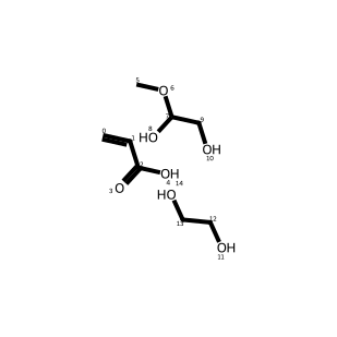 C=CC(=O)O.COC(O)CO.OCCO